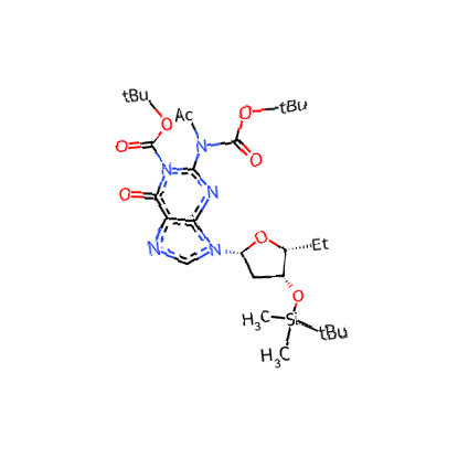 CC[C@H]1O[C@@H](n2cnc3c(=O)n(C(=O)OC(C)(C)C)c(N(C(C)=O)C(=O)OC(C)(C)C)nc32)C[C@H]1O[Si](C)(C)C(C)(C)C